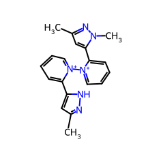 Cc1cc(-c2cccc[n+]2-[n+]2ccccc2-c2cc(C)nn2C)[nH]n1